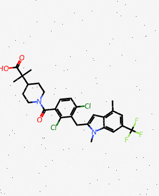 Cc1cc(C(F)(F)F)cc2c1cc(Cc1c(Cl)ccc(C(=O)N3CCC(C(C)(C)C(=O)O)CC3)c1Cl)n2C